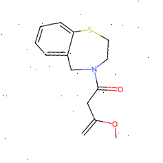 C=C(CC(=O)N1CCSc2ccccc2C1)OC